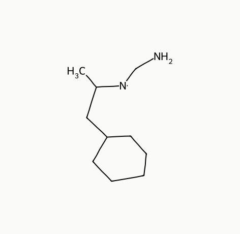 CC(CC1CCCCC1)[N]CN